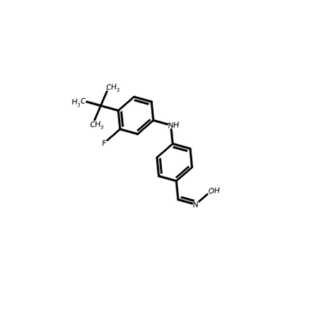 CC(C)(C)c1ccc(Nc2ccc(/C=N\O)cc2)cc1F